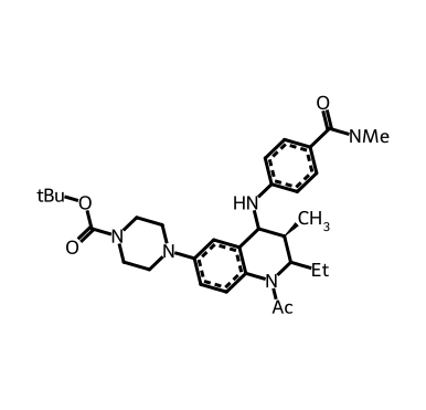 CCC1[C@H](C)C(Nc2ccc(C(=O)NC)cc2)c2cc(N3CCN(C(=O)OC(C)(C)C)CC3)ccc2N1C(C)=O